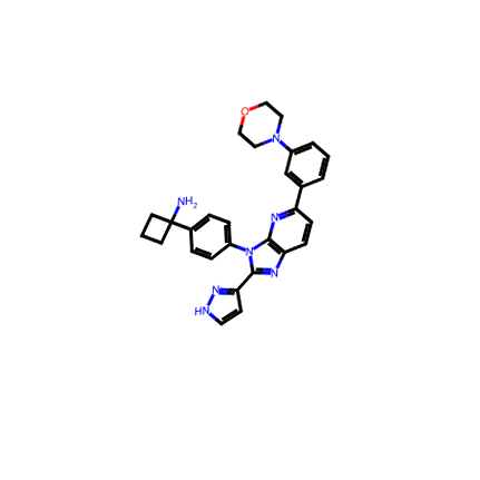 NC1(c2ccc(-n3c(-c4cc[nH]n4)nc4ccc(-c5cccc(N6CCOCC6)c5)nc43)cc2)CCC1